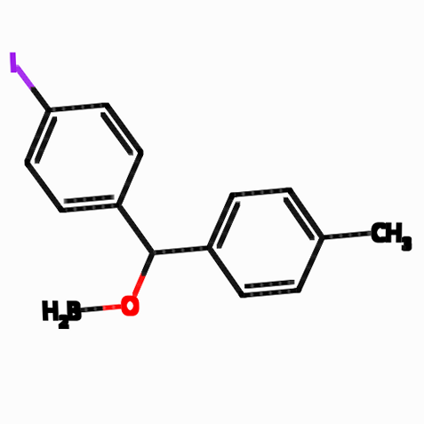 BOC(c1ccc(C)cc1)c1ccc(I)cc1